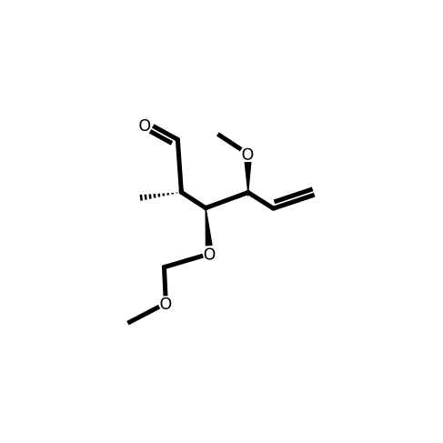 C=C[C@H](OC)[C@@H](OCOC)[C@H](C)C=O